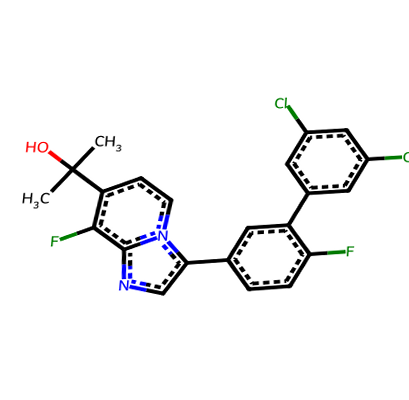 CC(C)(O)c1ccn2c(-c3ccc(F)c(-c4cc(Cl)cc(Cl)c4)c3)cnc2c1F